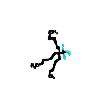 CCCCCC(CCCCC)(CCCCC)C(F)(F)F